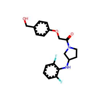 O=C(COc1ccc(CO)cc1)N1CCC(Nc2c(F)cccc2F)C1